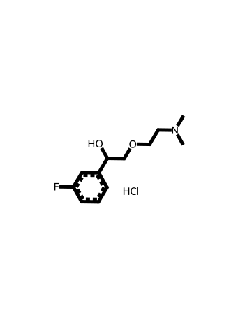 CN(C)CCOCC(O)c1cccc(F)c1.Cl